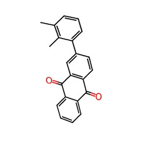 Cc1cccc(-c2ccc3c(c2)C(=O)c2ccccc2C3=O)c1C